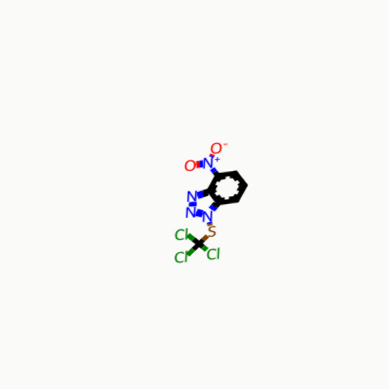 O=[N+]([O-])c1cccc2c1nnn2SC(Cl)(Cl)Cl